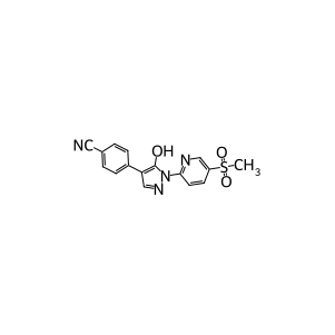 CS(=O)(=O)c1ccc(-n2ncc(-c3ccc(C#N)cc3)c2O)nc1